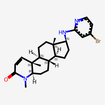 CN1C(=O)C=C[C@]2(C)[C@H]3CC[C@]4(C)[C@@H](Nc5cc(Br)ccn5)CC[C@H]4[C@@H]3CC[C@@H]12